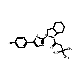 CC(C)(C)OC(=O)N1C2CCCCC2C[C@@H]1c1ncc(-c2ccc(Br)cc2)[nH]1